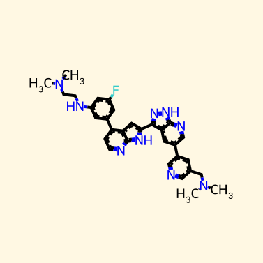 CN(C)CCNc1cc(F)cc(-c2ccnc3[nH]c(-c4n[nH]c5ncc(-c6cncc(CN(C)C)c6)cc45)cc23)c1